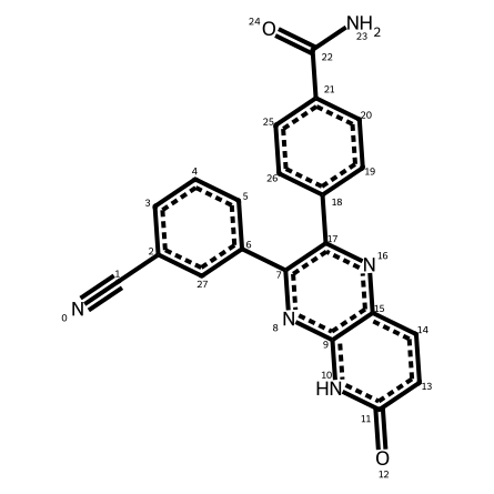 N#Cc1cccc(-c2nc3[nH]c(=O)ccc3nc2-c2ccc(C(N)=O)cc2)c1